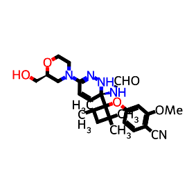 COc1cc(OC2([C@]3(NC=O)C=CC(N4CCO[C@H](CO)C4)=NN3)C(C)(C)CC2(C)C)ccc1C#N